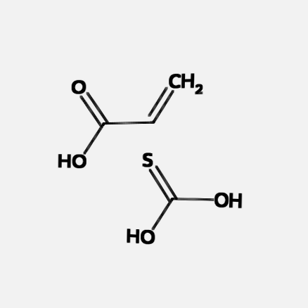 C=CC(=O)O.OC(O)=S